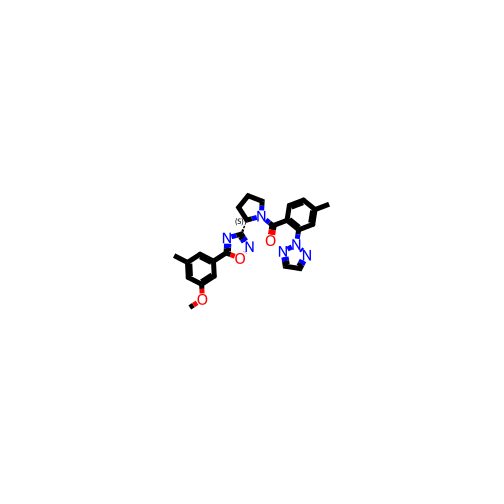 COc1cc(C)cc(-c2nc([C@@H]3CCCN3C(=O)c3ccc(C)cc3-n3nccn3)no2)c1